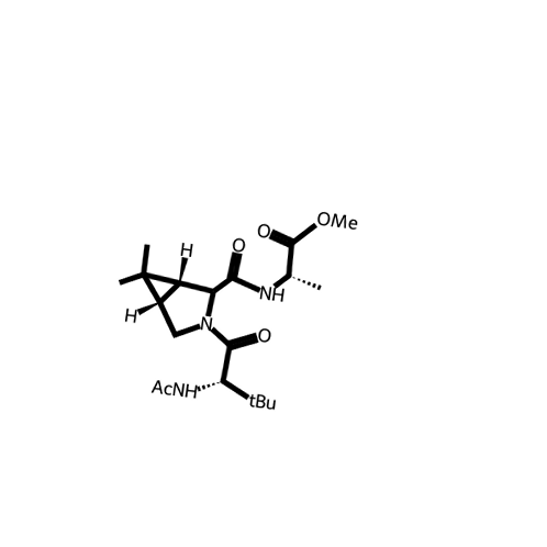 COC(=O)[C@H](C)NC(=O)C1[C@@H]2[C@H](CN1C(=O)[C@@H](NC(C)=O)C(C)(C)C)C2(C)C